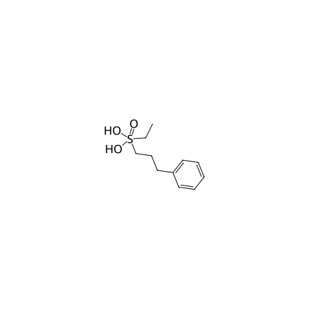 CCS(=O)(O)(O)CCCc1ccccc1